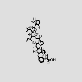 CC[C@H](C)[C@@H]([C@@H](CC(=O)N1CCC[C@H]1[C@H](OC)[C@@H](C)C(=O)N[C@@H](Cc1cccc(NC(=O)O)c1)c1nccs1)OC)N(C)C(=O)[C@@H](NC(=O)[C@@H]1[C@H]2CC[C@H](C2)N1C)C(C)C